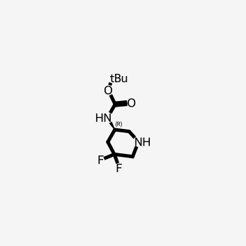 CC(C)(C)OC(=O)N[C@H]1CNCC(F)(F)C1